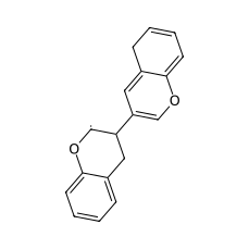 [CH]1Oc2ccccc2CC1C1=COC2=CC=CCC2=C1